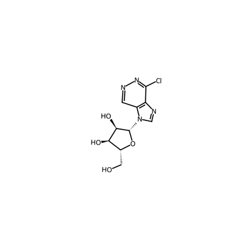 OC[C@H]1O[C@@H](n2cnc3c(Cl)nncc32)[C@H](O)[C@@H]1O